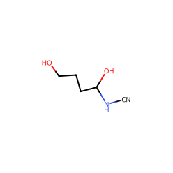 N#CNC(O)CCCO